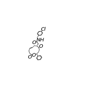 O=C(C[C@@H]1C/C=C/CCC(=O)OC(c2ccccc2)CCC1=O)NCc1ccc(Cl)cc1